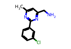 Cc1cc(CN)nc(-c2cccc(Cl)c2)n1